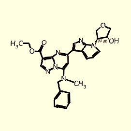 CCOC(=O)c1cnn2c(N(C)Cc3ccccc3)cc(-c3cnc4n([C@H]5COC[C@@H]5O)cccc3-4)nc12